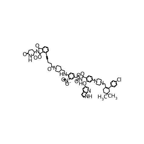 CC1(C)CCC(CN2CCN(c3ccc(C(=O)NS(=O)(=O)c4ccc(NCC5CCN(C(=O)CCC#Cc6cccc7c6C(=O)N(C6CCC(=O)NC6=O)C7=O)CC5)c([N+](=O)[O-])c4)c(Oc4cnc5[nH]ccc5c4)c3)CC2)=C(c2ccc(Cl)cc2)C1